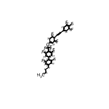 CCCCc1cc(F)c(-c2cc(F)c(C(F)(F)OC3=CC(F)C(C#Cc4cc(F)c(F)c(F)c4)C(F)=C3)c(F)c2)c(F)c1